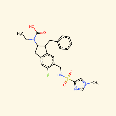 CCN(C(=O)O)C1Cc2cc(F)c(CNS(=O)(=O)c3cn(C)cn3)cc2C1Cc1ccccc1